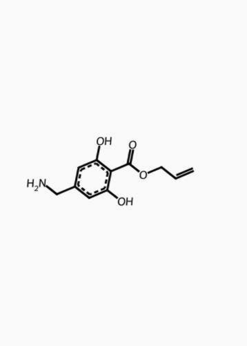 C=CCOC(=O)c1c(O)cc(CN)cc1O